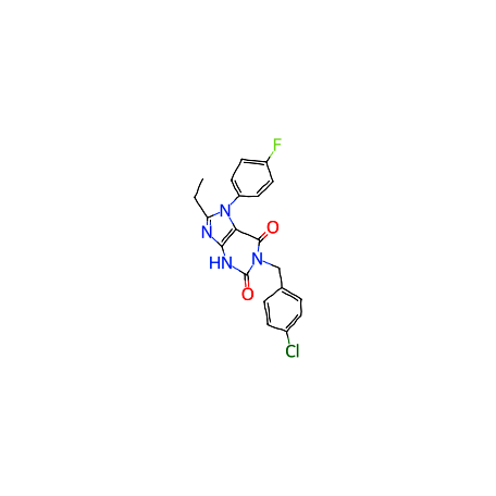 CCc1nc2[nH]c(=O)n(Cc3ccc(Cl)cc3)c(=O)c2n1-c1ccc(F)cc1